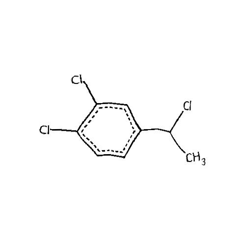 CC(Cl)c1ccc(Cl)c(Cl)c1